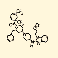 CCOCCn1c(NC2CCN(C3CCN(C(=O)C4(C(F)(F)F)C=CC=C(C(F)(F)F)C4)C(Cc4ccccc4)C3)CC2)nc2ccccc21